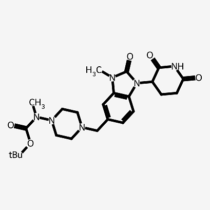 CN(C(=O)OC(C)(C)C)N1CCN(Cc2ccc3c(c2)n(C)c(=O)n3C2CCC(=O)NC2=O)CC1